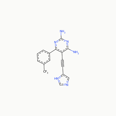 Nc1nc(N)c(C#Cc2cnc[nH]2)c(-c2cccc(C(F)(F)F)c2)n1